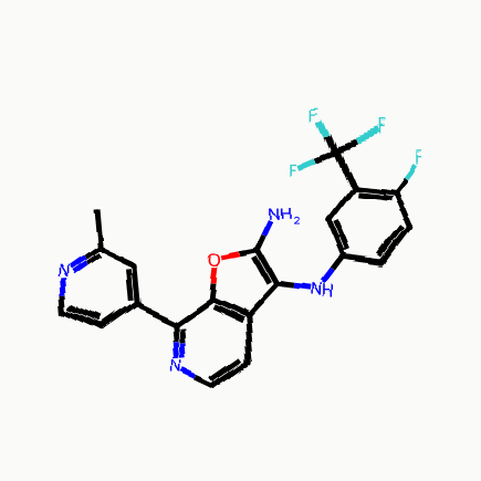 Cc1cc(-c2nccc3c(Nc4ccc(F)c(C(F)(F)F)c4)c(N)oc23)ccn1